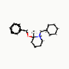 CC1(OCc2ccccc2)CCCCN1CC1CCCCC1